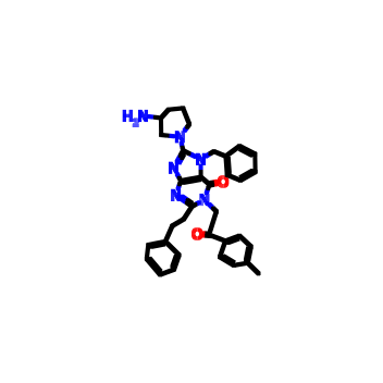 Cc1ccc(C(=O)Cn2c(CCc3ccccc3)nc3nc(N4CCCC(N)C4)n(Cc4ccccc4)c3c2=O)cc1